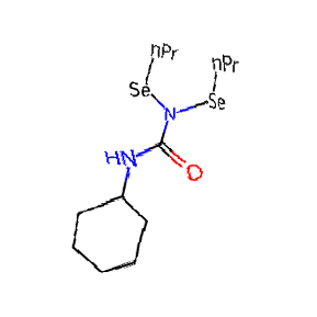 CCC[Se]N([Se]CCC)C(=O)NC1CCCCC1